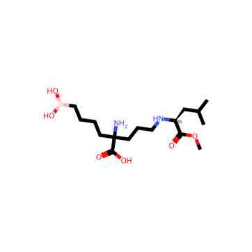 COC(=O)[C@H](CC(C)C)NCCCC(N)(CCCCB(O)O)C(=O)O